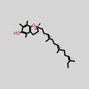 CC/C(C)=C\CC/C(C)=C/CC/C(C)=C/CC[C@]1(C)CCc2c(C)c(O)c(C)c(C)c2O1